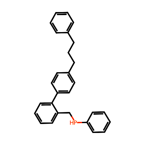 c1ccc(CCCc2ccc(-c3ccccc3CPc3ccccc3)cc2)cc1